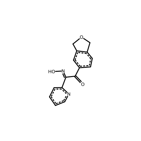 O=C(C(=NO)c1ccccn1)c1ccc2c(c1)COC2